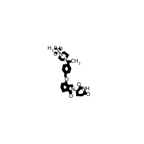 CC(c1ccc(COc2cccc3c2CN([C@H]2CCC(=O)NC2=O)C3=O)cc1)N1CCN(S(C)(=O)=O)CC1